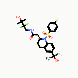 CC(C)(O)C(F)(F)CNC(=O)C[C@@H]1CCc2cc(C(O)(C(F)(F)F)C(F)(F)F)ccc2N1S(=O)(=O)c1ccc(F)cc1